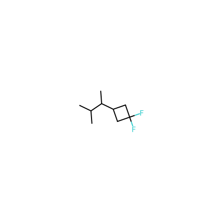 CC(C)C(C)C1CC(F)(F)C1